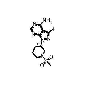 CS(=O)(=O)N1CCC[C@@H](n2nc(I)c3c(N)ncnc32)C1